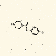 O=C(Oc1ccc(Br)cn1)N1CCNCC1